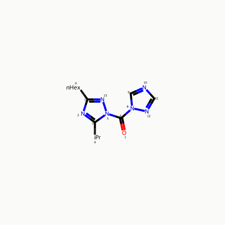 CCCCCCc1nc(C(C)C)n(C(=O)n2cncn2)n1